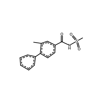 Cc1cc(C(=O)NS(C)(=O)=O)ccc1-c1ccccc1